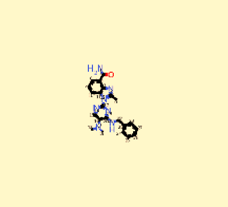 Cc1nc2c(C(N)=O)cccc2n1-c1ncc(N(C)C)c(NCc2ccccc2)n1